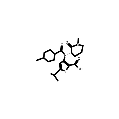 CC1CCC(C(=O)N(c2cc(C(C)C)sc2C(=O)O)[C@H]2CCCN(C)C2=O)CC1